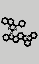 c1ccc(-c2nc(-n3c4ccccc4c4ccc5c(ccc6c5c5cccc7c8ccccc8n6c75)c43)nc3c2ccc2ccccc23)cc1